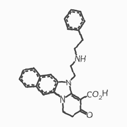 O=C(O)C1=C2N(CCNCCc3ccccc3)c3cc4ccccc4cc3N2CCC1=O